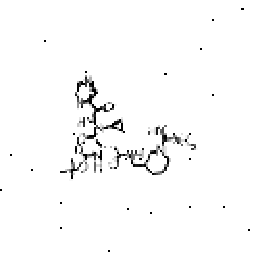 CC(C)(C)OC(=O)N[C@@H](CC(=O)NC[C@@H]1CCCN(C(=N)N)C1)C(=O)N(NC(=O)c1cnccn1)C1CC1